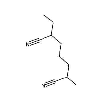 CCC(C#N)C[CH]CC(C)C#N